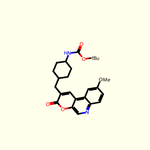 COc1ccc2ncc3oc(=O)c(CC4CCC(NC(=O)OC(C)(C)C)CC4)cc3c2c1